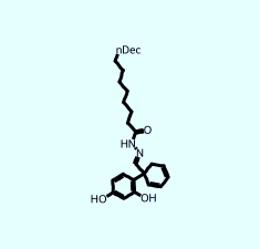 CCCCCCCCCCCCCCCCCC(=O)NN=CC1(c2ccc(O)cc2O)C=CC=CC1